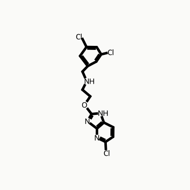 Clc1cc(Cl)cc(CNCCOc2nc3nc(Cl)ccc3[nH]2)c1